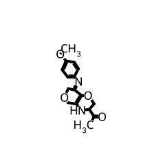 COc1ccc(/N=C2\COCC3=C2OCC(C(C)=O)N3)cc1